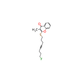 Cc1c(SCCCC#CCCCF)oc2ccccc2c1=O